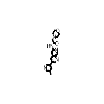 Cc1cncc(-c2cnc3cnc(NC(=O)CN4CCOCC4)cc3c2)c1